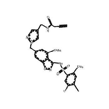 C#CC(=O)NCc1cnn(Cc2cc(OC)c3c(NS(=O)(=O)c4cc(Cl)c(C)cc4OC)noc3c2)c1